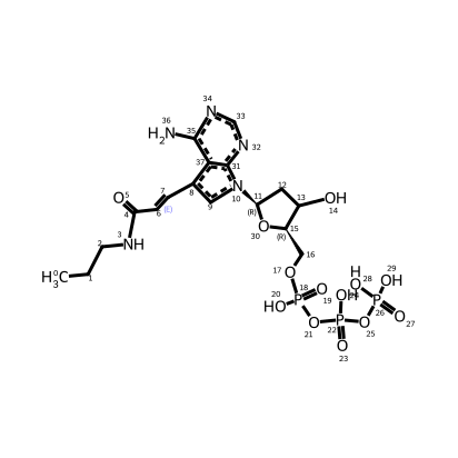 CCCNC(=O)/C=C/c1cn([C@H]2CC(O)[C@@H](COP(=O)(O)OP(=O)(O)OP(=O)(O)O)O2)c2ncnc(N)c12